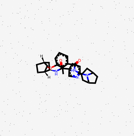 COc1cccc(C(=O)NC2CC3CCC(C2)N3c2ccc(C(=O)N[C@@H]3C[C@H]4CC[C@@H]3C4)cn2)c1C